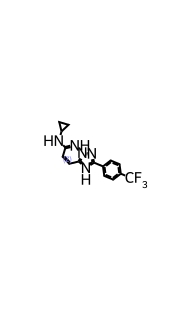 N=C(/C=C\c1nnc(-c2ccc(C(F)(F)F)cc2)[nH]1)NC1CC1